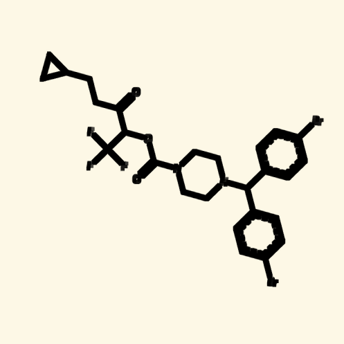 O=C(CCC1CC1)C(OC(=O)N1CCN(C(c2ccc(Br)cc2)c2ccc(Br)cc2)CC1)C(F)(F)F